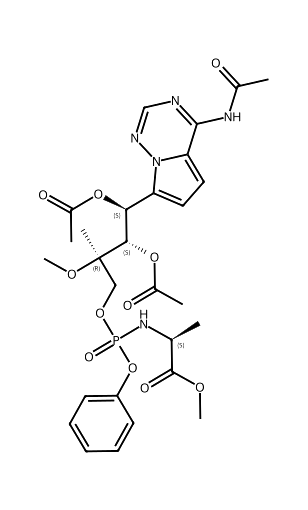 COC(=O)[C@H](C)NP(=O)(OC[C@@](C)(OC)[C@@H](OC(C)=O)[C@@H](OC(C)=O)c1ccc2c(NC(C)=O)ncnn12)Oc1ccccc1